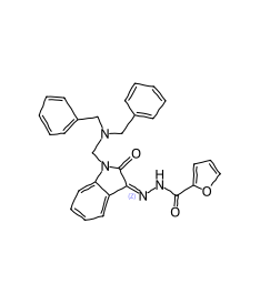 O=C(N/N=C1\C(=O)N(CN(Cc2ccccc2)Cc2ccccc2)c2ccccc21)c1ccco1